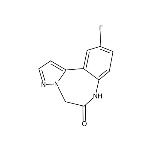 O=C1Cn2nccc2-c2cc(F)ccc2N1